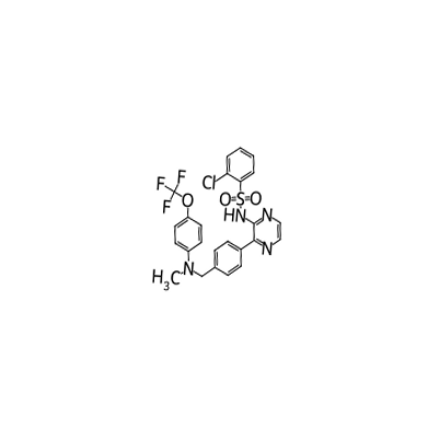 CN(Cc1ccc(-c2nccnc2NS(=O)(=O)c2ccccc2Cl)cc1)c1ccc(OC(F)(F)F)cc1